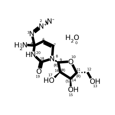 O.[N-]=[N+]=NC1(N)C=CN([C@@H]2O[C@H](CO)[C@@H](O)[C@H]2O)C(=O)N1